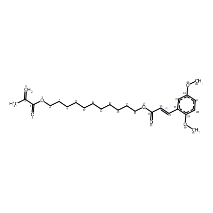 C=C(C)C(=O)OCCCCCCCCCCCOC(=O)/C=C/c1cc(OC)ccc1OC